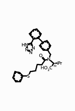 CC(C)[C@@H](C(=O)O)N(Cc1ccc(-c2ccccc2-c2nnn[nH]2)cc1)C(=O)CCCCSc1ccccc1